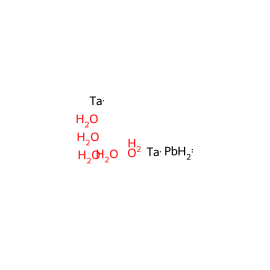 O.O.O.O.O.[PbH2].[Ta].[Ta]